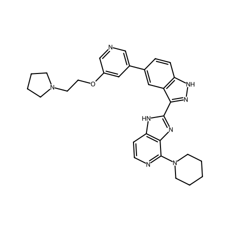 c1cc2[nH]c(-c3n[nH]c4ccc(-c5cncc(OCCN6CCCC6)c5)cc34)nc2c(N2CCCCC2)n1